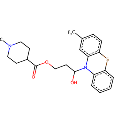 CN1CCC(C(=O)OCCC(O)N2c3ccccc3Sc3ccc(C(F)(F)F)cc32)CC1